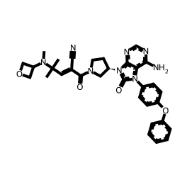 CN(C1COC1)C(C)(C)C=C(C#N)C(=O)N1CC[C@H](n2c(=O)n(-c3ccc(Oc4ccccc4)cc3)c3c(N)ncnc32)C1